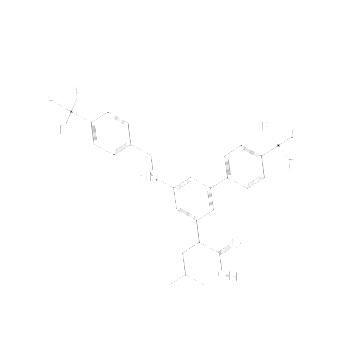 CC(C)CC(C(=O)O)c1cc(NCc2ccc(C(F)(F)F)cc2)cc(-c2ccc(C(F)(F)F)cc2)c1